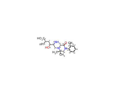 CCC[C@H](C[C@H](O)[C@@H](N)CN1CC(=O)N(c2ccccc2C)CC1(C)C)C(=O)O